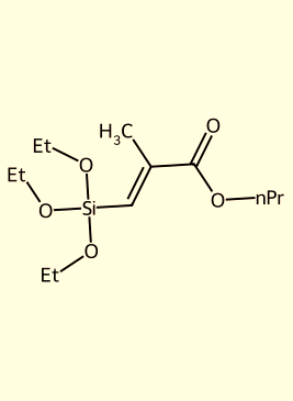 CCCOC(=O)C(C)=C[Si](OCC)(OCC)OCC